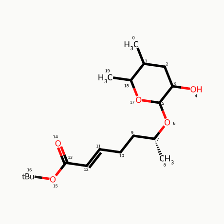 CC1CC(O)C(O[C@H](C)CC/C=C/C(=O)OC(C)(C)C)OC1C